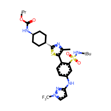 Cc1nc([C@H]2CC[C@H](NC(=O)OC(C)C)CC2)sc1-c1ccc(Nc2ccn(C(F)(F)F)n2)cc1S(=O)(=O)NC(C)(C)C